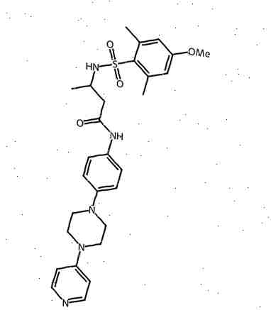 COc1cc(C)c(S(=O)(=O)NC(C)CC(=O)Nc2ccc(N3CCN(c4ccncc4)CC3)cc2)c(C)c1